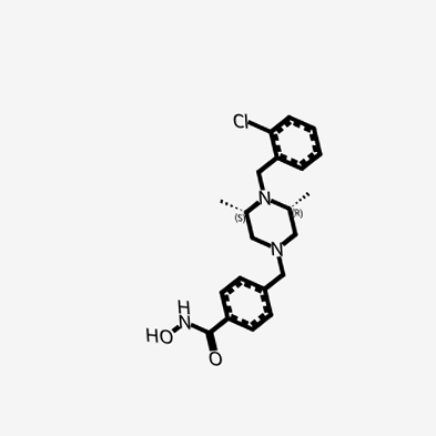 C[C@@H]1CN(Cc2ccc(C(=O)NO)cc2)C[C@H](C)N1Cc1ccccc1Cl